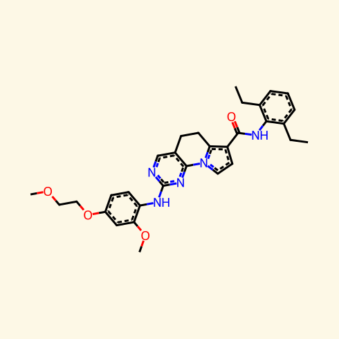 CCc1cccc(CC)c1NC(=O)c1ccn2c1CCc1cnc(Nc3ccc(OCCOC)cc3OC)nc1-2